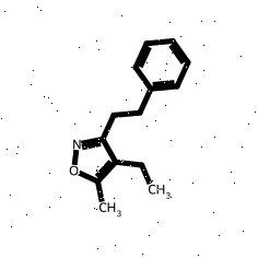 CCc1c(CCc2ccccc2)noc1C